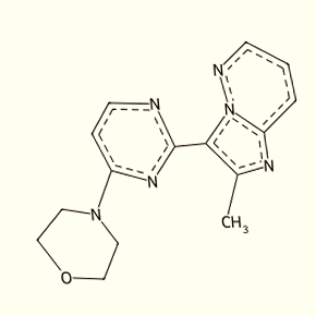 Cc1nc2cccnn2c1-c1nccc(N2CCOCC2)n1